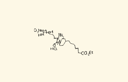 CCOC(=O)CCCCCCC1CCN(C(=O)[C@@H](N)CCCNC(=N)N[N+](=O)[O-])CC1.Cl